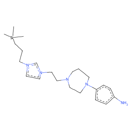 C[Si](C)(C)CCC[n+]1ccn(CCN2CCCN(c3ccc(N)cc3)CC2)c1